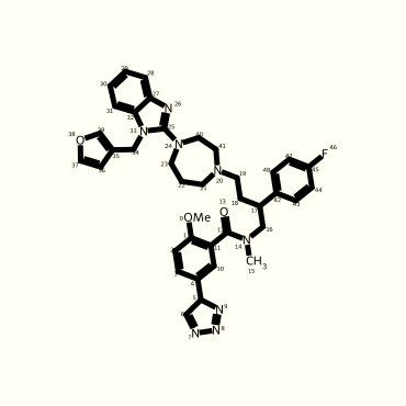 COc1ccc(C2C=NN=N2)cc1C(=O)N(C)CC(CCN1CCCN(c2nc3ccccc3n2Cc2ccoc2)CC1)c1ccc(F)cc1